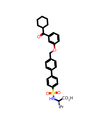 CC(C)[C@@H](NS(=O)(=O)c1ccc(-c2ccc(COc3cccc(C(=O)C4CCCCC4)c3)cc2)cc1)C(=O)O